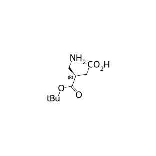 CC(C)(C)OC(=O)[C@@H](CN)CC(=O)O